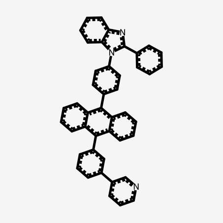 c1ccc(-c2nc3ccccc3n2-c2ccc(-c3c4ccccc4c(-c4cccc(-c5cccnc5)c4)c4ccccc34)cc2)cc1